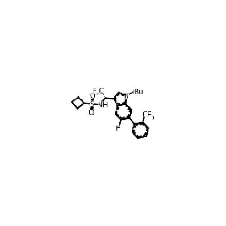 CCC(C)n1cc([C@H](NS(=O)(=O)C2CCC2)C(F)(F)F)c2cc(F)c(-c3ccccc3C(F)(F)F)cc21